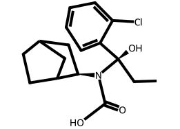 CC[C@@](O)(c1ccccc1Cl)N(C(=O)O)[C@@H]1CC2CCC1C2